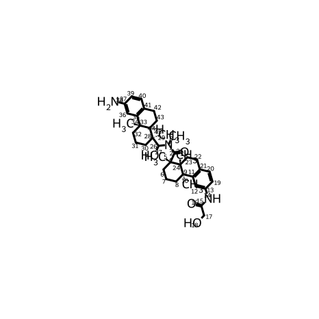 CN(C(=O)[C@@]1(C)CCC[C@]2(C)c3cc(NC(=O)CO)ccc3CC[C@@]12C)C(O)[C@@]1(C)CCC[C@]2(C)c3cc(N)ccc3CC[C@H]21